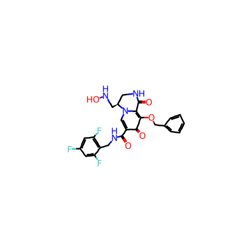 O=C(NCc1c(F)cc(F)cc1F)c1cn2c(c(OCc3ccccc3)c1=O)C(=O)NC[C@@H]2CNO